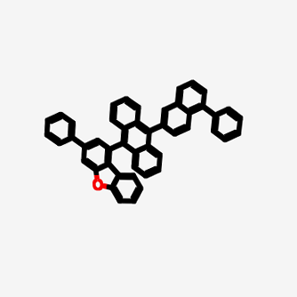 c1ccc(-c2cc(-c3c4ccccc4c(-c4ccc5c(-c6ccccc6)cccc5c4)c4ccccc34)c3c(c2)oc2ccccc23)cc1